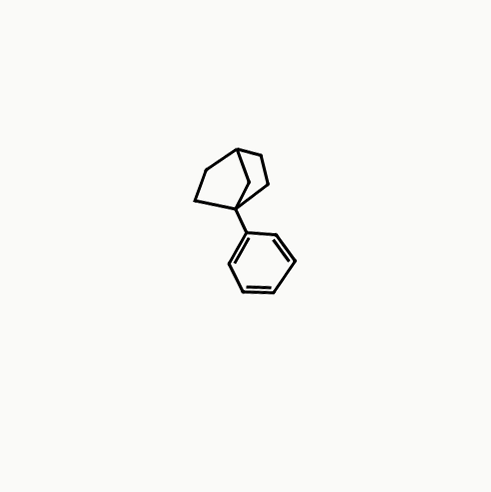 c1ccc(C23CCC(CC2)C3)cc1